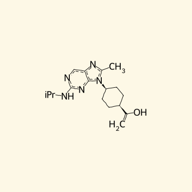 C=C(O)[C@H]1CC[C@@H](n2c(C)nc3cnc(NC(C)C)nc32)CC1